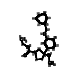 CCOC(=O)N1CCC(OC)(c2cccc(OCc3ccccc3)c2)C1